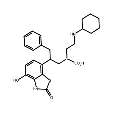 O=C(O)N(CCNC1CCCCC1)CC(Cc1ccccc1)c1ccc(O)c2[nH]c(=O)sc12